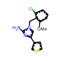 COc1cccc(Cl)c1Cn1cc(-c2ccsc2)nc1N